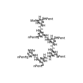 CCCCCSc1nc(NC)nc(NCCNC2=NC(SCCCCC)NC(NCCNC3=NC(SCCCCC)NC(NCCNC4=NC(SCCCCC)NC(NCCNc5nc(NCCNC6=NC(SCCCCC)NC(NC)N6)nc(SCCCCC)n5)N4)N3)=N2)n1